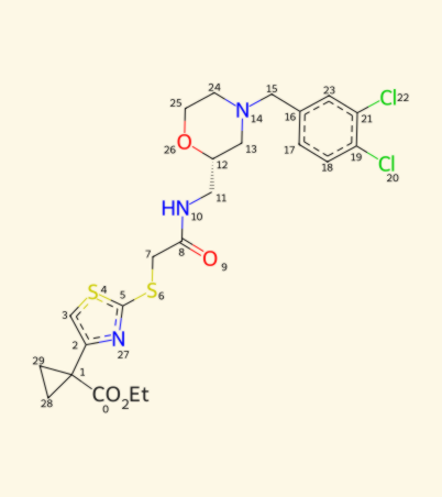 CCOC(=O)C1(c2csc(SCC(=O)NC[C@H]3CN(Cc4ccc(Cl)c(Cl)c4)CCO3)n2)CC1